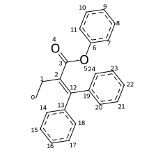 CCC(C(=O)Oc1ccccc1)=C(c1ccccc1)c1ccccc1